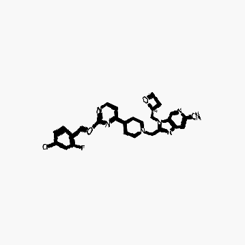 N#Cc1cc2nc(CN3CCC(c4ccnc(OCc5ccc(Cl)cc5F)n4)CC3)n(C[C@@H]3CCO3)c2cn1